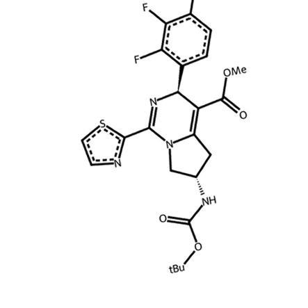 COC(=O)C1=C2C[C@H](NC(=O)OC(C)(C)C)CN2C(c2nccs2)=N[C@H]1c1ccc(F)c(F)c1F